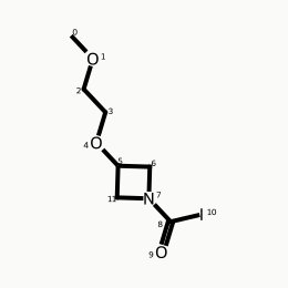 COCCOC1CN(C(=O)I)C1